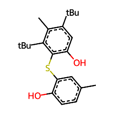 Cc1ccc(O)c(Sc2c(O)cc(C(C)(C)C)c(C)c2C(C)(C)C)c1